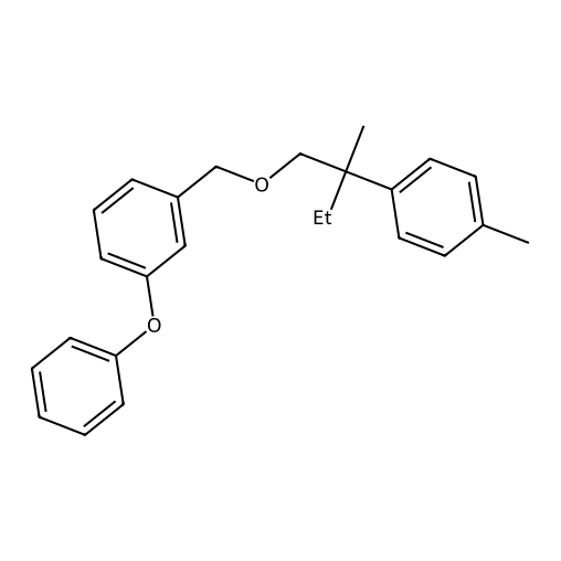 CCC(C)(COCc1cccc(Oc2ccccc2)c1)c1ccc(C)cc1